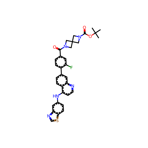 CC(C)(C)OC(=O)N1CC2(C1)CN(C(=O)c1ccc(-c3ccc4c(Nc5ccc6scnc6c5)ccnc4c3)c(F)c1)C2